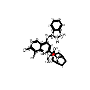 CC(C)(C)OC(=O)N1C2CCC1CN(c1cc(ON3NNc4ccccc43)c3cnc(Cl)c(F)c3n1)C2